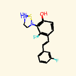 Oc1ccc(/C=C/c2cccc(F)c2)c(F)c1N1CCNS1